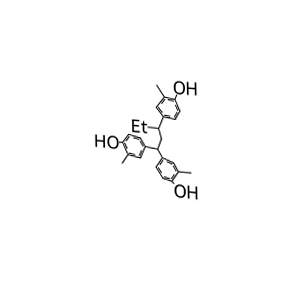 CCC(CC(c1ccc(O)c(C)c1)c1ccc(O)c(C)c1)c1ccc(O)c(C)c1